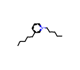 CCCCCc1ccc[n+](CCCCC)c1